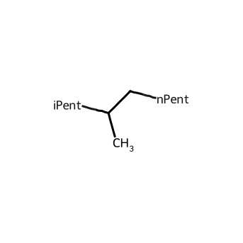 CC[CH]C(C)C(C)CCCCCC